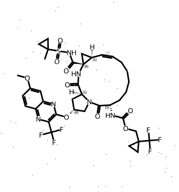 COc1ccc2nc(C(F)(F)F)c(O[C@@H]3C[C@H]4C(=O)N[C@]5(C(=O)NS(=O)(=O)C6(C)CC6)C[C@H]5/C=C\CCCCC[C@H](NC(=O)OCC5(C(F)(F)F)CC5)C(=O)N4C3)nc2c1